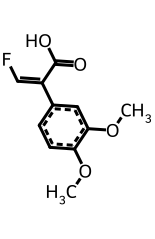 COc1ccc(/C(=C/F)C(=O)O)cc1OC